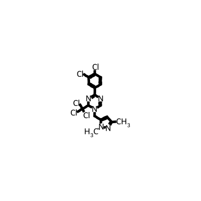 Cc1cc(CN2C=NC(c3ccc(Cl)c(Cl)c3)=NC2C(Cl)(Cl)Cl)n(C)n1